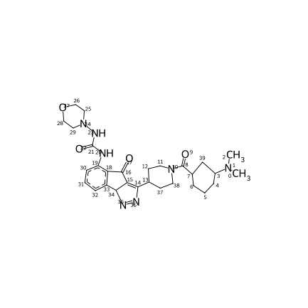 CN(C)C1CCCC(C(=O)N2CCC(C3=C4C(=O)c5c(NC(=O)NN6CCOCC6)cccc5C4N=N3)CC2)C1